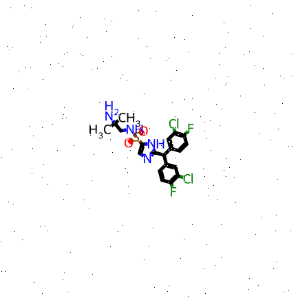 CC(C)(N)CNS(=O)(=O)c1cnc(C(c2ccc(F)c(Cl)c2)c2ccc(F)c(Cl)c2)[nH]1